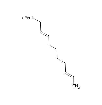 CC=CCCCCC=CCCCCCC